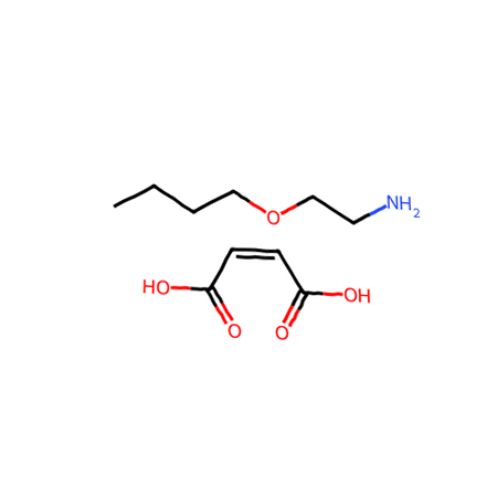 CCCCOCCN.O=C(O)/C=C\C(=O)O